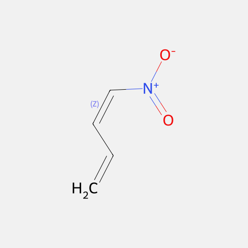 C=C/C=C\[N+](=O)[O-]